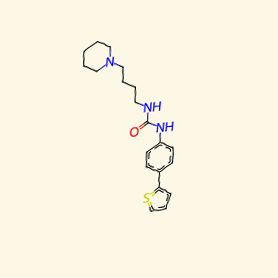 O=C(NCCCCN1CCCCC1)Nc1ccc(-c2cccs2)cc1